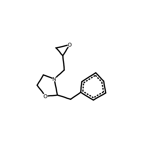 c1ccc(CC2OCCN2CC2CO2)cc1